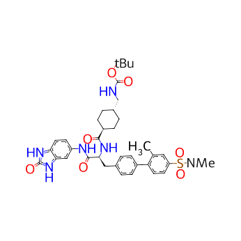 CNS(=O)(=O)c1ccc(-c2ccc(C[C@H](NC(=O)[C@H]3CC[C@H](CNC(=O)OC(C)(C)C)CC3)C(=O)Nc3ccc4[nH]c(=O)[nH]c4c3)cc2)c(C)c1